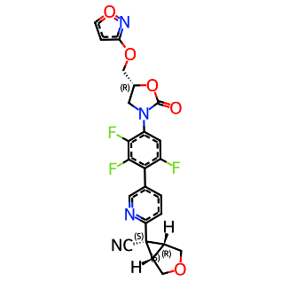 N#C[C@]1(c2ccc(-c3c(F)cc(N4C[C@H](COc5ccon5)OC4=O)c(F)c3F)cn2)[C@@H]2COC[C@@H]21